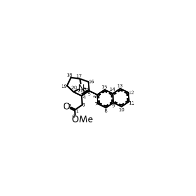 COC(=O)CC1=C(c2ccc3ccccc3c2)CC2CCC1N2C